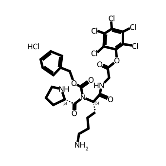 Cl.NCCCC[C@@H](C(=O)NCC(=O)Oc1c(Cl)c(Cl)c(Cl)c(Cl)c1Cl)N(C(=O)OCc1ccccc1)C(=O)[C@@H]1CCCN1